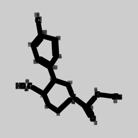 CC(C)(C)OC(=O)N1CCC(C(=O)O)C(c2ccc(Cl)cc2)C1